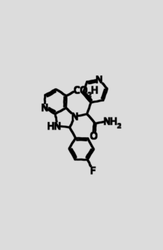 NC(=O)C(c1ccncc1)N1c2c(C(=O)O)ccnc2NC1c1ccc(F)cc1